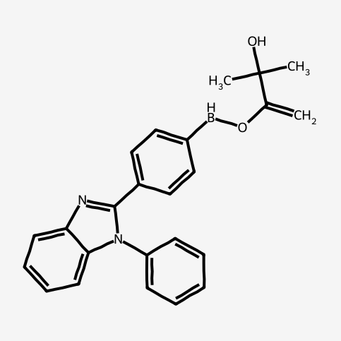 C=C(OBc1ccc(-c2nc3ccccc3n2-c2ccccc2)cc1)C(C)(C)O